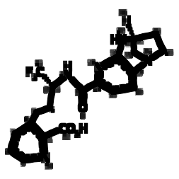 O=C(N[C@H](CCc1cccnc1C(=O)O)C(F)(F)F)c1ccc2c(n1)N[C@H]1CCN2C1